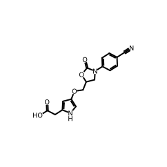 N#Cc1ccc(N2CC(COc3c[nH]c(CC(=O)O)c3)OC2=O)cc1